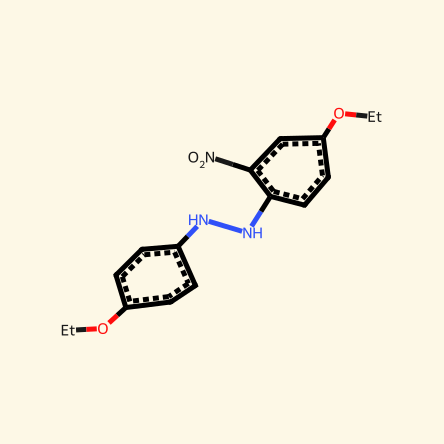 CCOc1ccc(NNc2ccc(OCC)cc2[N+](=O)[O-])cc1